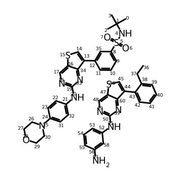 CC(C)(C)NS(=O)(=O)c1cccc(-c2csc3cnc(Nc4ccc(N5CCOCC5)cc4)nc23)c1.CCc1ccccc1-c1csc2cnc(Nc3cccc(N)c3)nc12